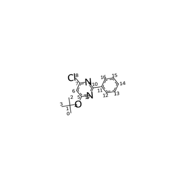 CC(C)(C)Oc1cc(Cl)nc(-c2ccccc2)n1